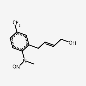 CN(N=O)c1ccc(C(F)(F)F)cc1C/C=C/CO